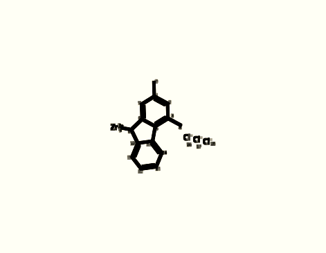 Cc1cc(C)c2c(c1)[CH]([Zr+3])c1ccccc1-2.[Cl-].[Cl-].[Cl-]